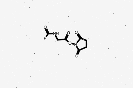 O=C(F)NCC(=O)ON1C(=O)CCC1=O